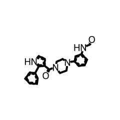 O=CNc1cccc(N2CCN(C(=O)c3cc[nH]c3-c3ccccc3)CC2)c1